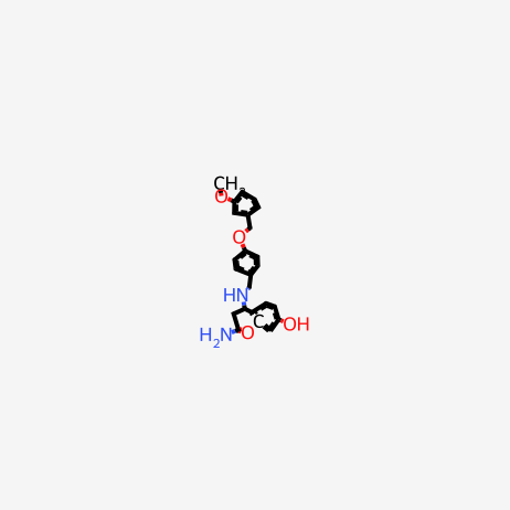 COc1cccc(COc2ccc(CNC(CC(N)=O)c3ccc(O)cc3)cc2)c1